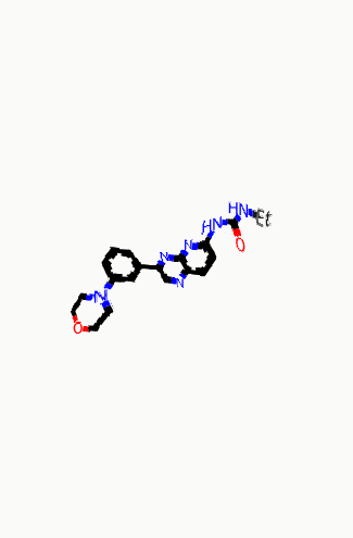 CCNC(=O)Nc1ccc2ncc(-c3cccc(N4CCOCC4)c3)nc2n1